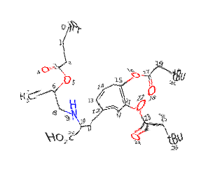 CC(C)CCC(=O)OC(C)CN[C@@H](Cc1ccc(OC(=O)CC(C)(C)C)c(OC(=O)CC(C)(C)C)c1)C(=O)O